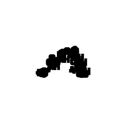 COc1cc(Nc2cc(Oc3ccc(NC(=O)Nc4cc(C(C)(C)C)cc(NS(C)(=O)=O)c4OC)c4ccccc34)ccn2)ccc1C(=O)NCCN1CCCN(C)CC1